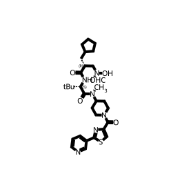 CN(C(=O)[C@@H](NC(=O)[C@H](CC1CCCC1)CN(O)C=O)C(C)(C)C)C1CCN(C(=O)c2csc(-c3cccnc3)n2)CC1